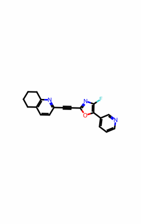 Fc1nc(C#Cc2ccc3c(n2)CCCC3)oc1-c1cccnc1